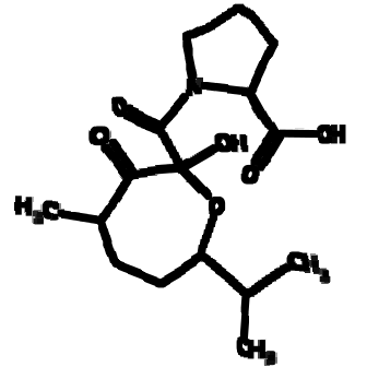 CC1CCC(C(C)C)OC(O)(C(=O)N2CCCC2C(=O)O)C1=O